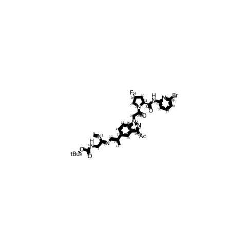 C=N/C(CNC(=O)OC(C)(C)C)=N\C=C(/C)c1ccc2c(c1)c(C(C)=O)nn2CC(=O)N1C[C@H](F)C[C@H]1C(=O)Nc1cccc(Br)n1